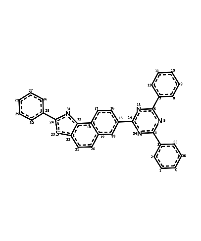 c1ccc(-c2nc(-c3ccccc3)nc(-c3ccc4c(ccc5sc(-c6ccccc6)nc54)c3)n2)cc1